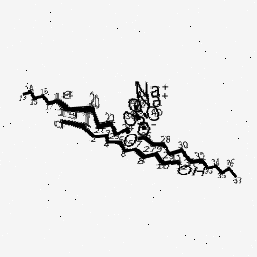 CCCCCCCCCCCCO.CCCCCCCCCCCCOCCCCCCCCCCCC.O=S(=O)([O-])[O-].[Na+].[Na+]